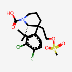 CC(C)(C)[C@@H]1N(C(=O)O)CCCC1(CCOS(C)(=O)=O)c1ccc(Cl)c(Cl)c1